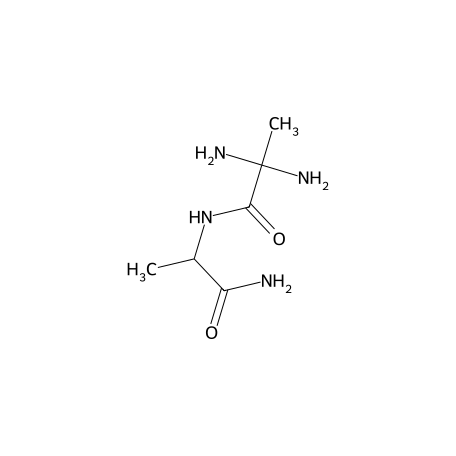 CC(NC(=O)C(C)(N)N)C(N)=O